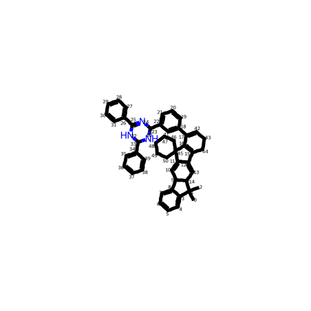 CC1(C)c2ccccc2C2C=C3C(=CC21)C1=C(C(c2cccc(C4N=C(c5ccccc5)NC(c5ccccc5)N4)c2)=CCC1)C31CCCCC1